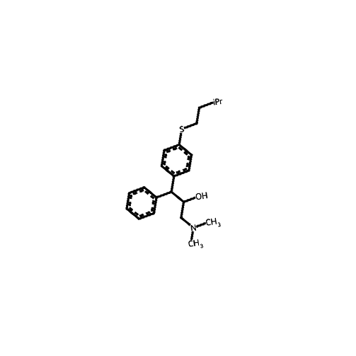 CC(C)CCSc1ccc(C(c2ccccc2)C(O)CN(C)C)cc1